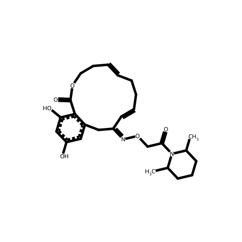 CC1CCCC(C)N1C(=O)CO/N=C1\C=C\CC/C=C/CCOC(=O)c2c(O)cc(O)cc2C1